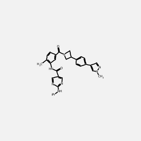 Cc1ccc(C(=O)N2CC(c3ccc(-c4cnn(C)c4)cc3)C2)cc1NC(=O)c1cnc(NC(C)C)nc1